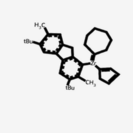 Cc1cc2c(cc1C(C)(C)C)-c1cc(C(C)(C)C)c(C)[c]([Zr]([C]3=CC=CC3)=[C]3CCCCCC3)c1C2